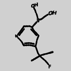 CC(C)(F)c1cncc(B(O)O)c1